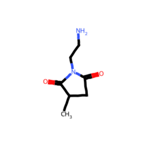 CC1CC(=O)N(CCN)C1=O